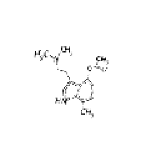 CC(=O)Oc1ccc(C)c2[nH]cc(CCN(C)C)c12